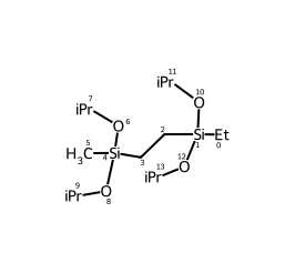 CC[Si](CC[Si](C)(OC(C)C)OC(C)C)(OC(C)C)OC(C)C